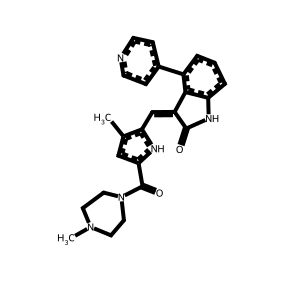 Cc1cc(C(=O)N2CCN(C)CC2)[nH]c1/C=C1\C(=O)Nc2cccc(-c3ccncc3)c21